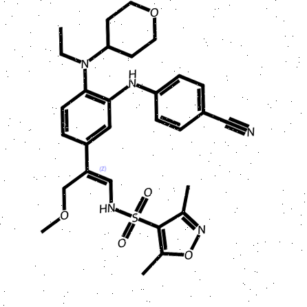 CCN(c1ccc(/C(=C/NS(=O)(=O)c2c(C)noc2C)COC)cc1Nc1ccc(C#N)cc1)C1CCOCC1